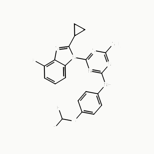 Nc1nc(Nc2ccc(OC(F)F)cc2)nc(-n2c(C3CC3)nc3c(F)cccc32)n1